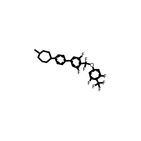 CC1CCCC(c2ccc(-c3cc(F)c(C(F)(F)Oc4cc(F)c(C(F)(F)F)c(F)c4)c(F)c3)cc2)CC1